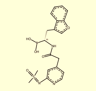 CS(C)(=O)=Nc1cc(CC(=O)N[C@@H](Cc2coc3ccccc23)B(O)O)ccn1